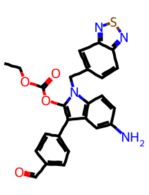 CCOC(=O)Oc1c(-c2ccc(C=O)cc2)c2cc(N)ccc2n1Cc1ccc2nsnc2c1